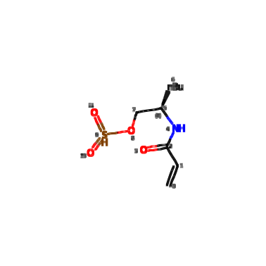 C=CC(=O)N[C@H](CCCC)CO[SH](=O)=O